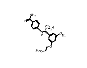 CCOc1cc(OCCOC)cc([C@@H](Nc2ccc(C(=N)N)cc2)C(=O)O)c1